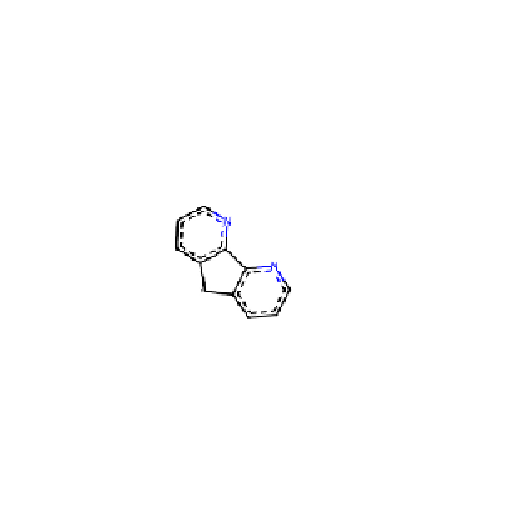 [C]1c2cccnc2-c2ncccc21